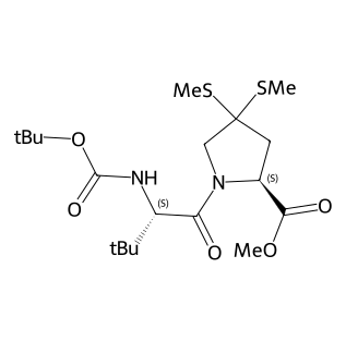 COC(=O)[C@@H]1CC(SC)(SC)CN1C(=O)[C@@H](NC(=O)OC(C)(C)C)C(C)(C)C